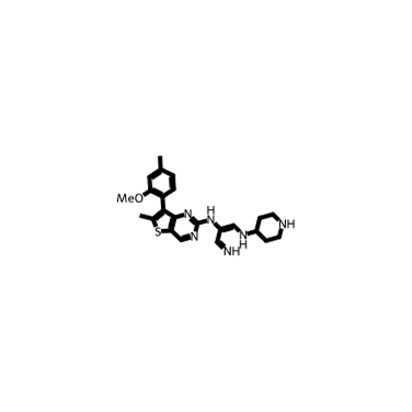 COc1cc(C)ccc1-c1c(C)sc2cnc(N/C(C=N)=C/NC3CCNCC3)nc12